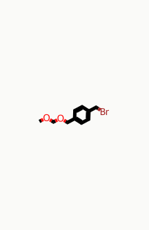 COCOCc1ccc(CBr)cc1